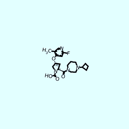 Cc1cnc(F)cc1O[C@@H]1C[C@@H](C(=O)N2CCCN(C3CCC3)CC2)N(C(=O)O)C1